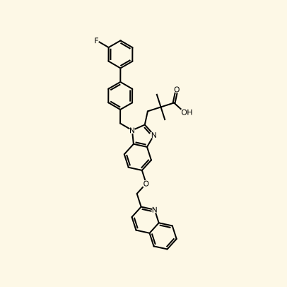 CC(C)(Cc1nc2cc(OCc3ccc4ccccc4n3)ccc2n1Cc1ccc(-c2cccc(F)c2)cc1)C(=O)O